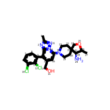 Cc1nc2c(-c3cccc(Cl)c3Cl)c(CO)cc(N3CCC4(CC3)COC(C)[C@H]4N)n2n1